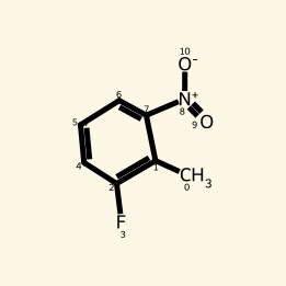 Cc1c(F)c[c]cc1[N+](=O)[O-]